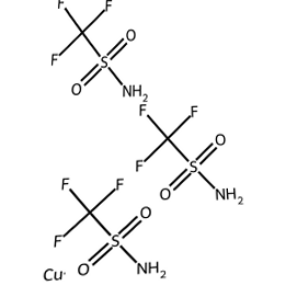 NS(=O)(=O)C(F)(F)F.NS(=O)(=O)C(F)(F)F.NS(=O)(=O)C(F)(F)F.[Cu]